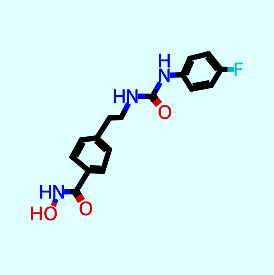 O=C(NCCc1ccc(C(=O)NO)cc1)Nc1ccc(F)cc1